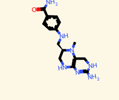 CN1C2=C(N=C(N)NC2)NC[C@H]1CNc1ccc(C(N)=O)cc1